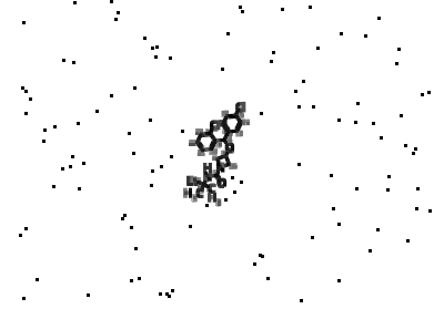 CCC(C)(C)NC(=O)N1CC(OC(c2ccc(Cl)cc2)c2ccccc2C(F)(F)F)C1